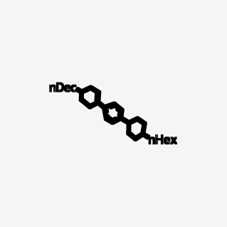 CCCCCCCCCCC1CC=C(c2ccc(C3CCC(CCCCCC)CC3)cc2)CC1